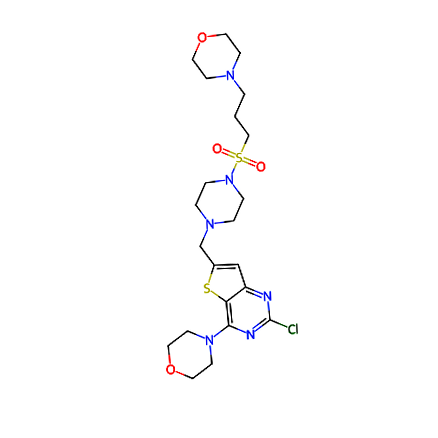 O=S(=O)(CCCN1CCOCC1)N1CCN(Cc2cc3nc(Cl)nc(N4CCOCC4)c3s2)CC1